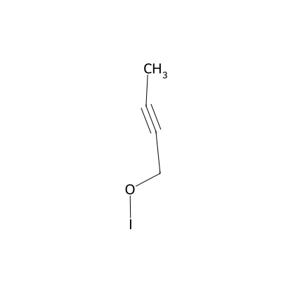 CC#CCOI